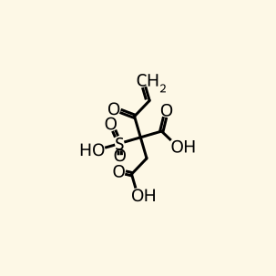 C=CC(=O)C(CC(=O)O)(C(=O)O)S(=O)(=O)O